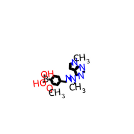 CCN(/N=C/c1ccc(B(O)O)c(OC)c1)c1ncnc2c1ccn2C